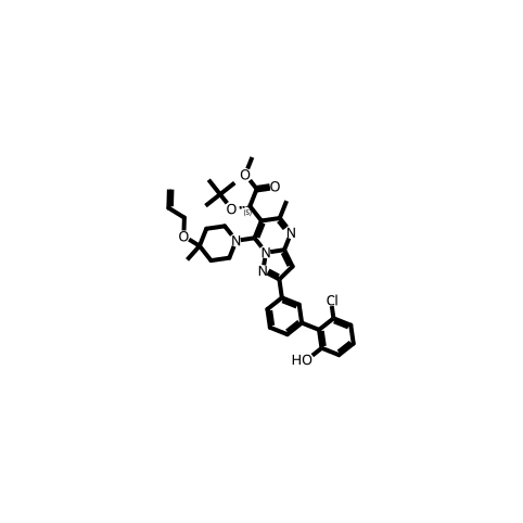 C=CCOC1(C)CCN(c2c([C@H](OC(C)(C)C)C(=O)OC)c(C)nc3cc(-c4cccc(-c5c(O)cccc5Cl)c4)nn23)CC1